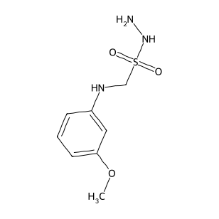 COc1cccc(NCS(=O)(=O)NN)c1